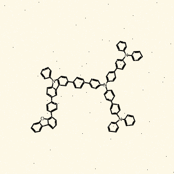 c1ccc(N(c2ccccc2)c2ccc(-c3ccc(N(c4ccc(-c5ccc(-c6ccc7c(c6)c6cc(-c8ccc(-c9cccc%10c9oc9ccccc9%10)cc8)ccc6n7-c6ccccc6)cc5)cc4)c4ccc(-c5ccc(N(c6ccccc6)c6ccccc6)cc5)cc4)cc3)cc2)cc1